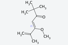 C=C(C)/C(=C/C(=O)C(C)(C)C)OC